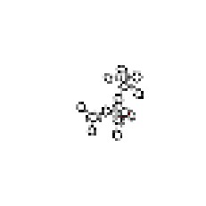 c1ccc(-c2cc(-c3ccc(-n4c5ccccc5c5cc(-c6cc7c8c(c6)N(c6ccccc6)c6ccccc6B8c6ccccc6N7c6ccccc6)ccc54)c(-c4cc(-c5ccccc5)nc(-c5ccccc5)n4)c3)nc(-c3ccccc3)n2)cc1